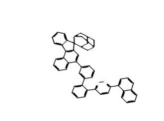 c1cc(-c2ccccc2-c2ccc(-c3cccc4ccccc34)nn2)cc(-c2cc3c(c4ccccc24)-c2ccccc2C32C3CC4CC(C3)CC2C4)c1